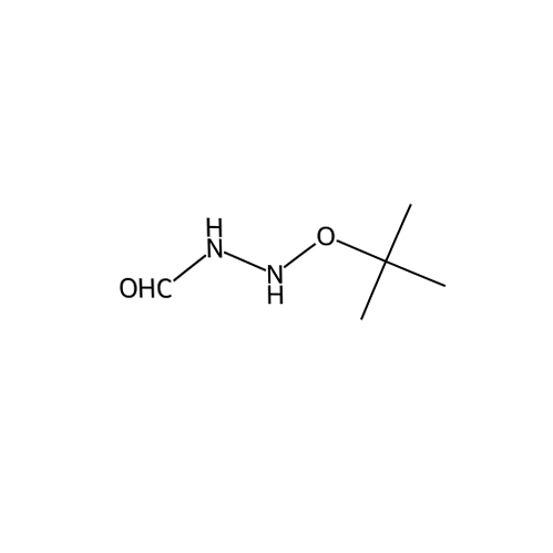 CC(C)(C)ONNC=O